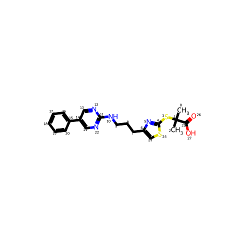 CC(C)(Sc1nc(CCCNc2ncc(-c3ccccc3)cn2)cs1)C(=O)O